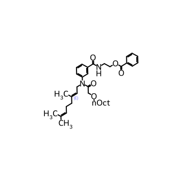 CCCCCCCCOCC(=O)N(C/C=C(\C)CCC=C(C)C)c1cccc(C(=O)NCCOC(=O)c2ccccc2)c1